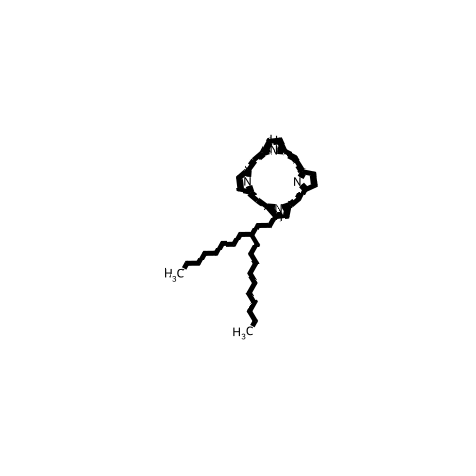 CCCCCCCCCCC(CCCCCCCC)CCc1cc2cc3nc(cc4ccc(cc5nc(cc1[nH]2)C=C5)[nH]4)C=C3